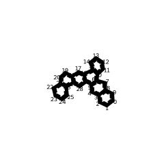 c1ccc2cc3c(cc2c1)c1ccccc1c1cc2ccc4ccccc4c2cc31